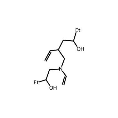 C=CC(CC(O)CC)CN(C=C)CC(O)CC